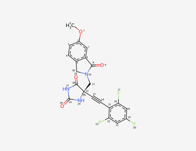 COc1ccc2c(c1)C(=O)N(C[C@@]1(C#Cc3c(F)cc(F)cc3F)NC(=O)NC1=O)C2